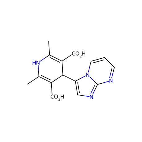 CC1=C(C(=O)O)C(c2cnc3ncccn23)C(C(=O)O)=C(C)N1